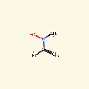 C=C(CC)N(C)O